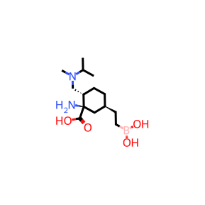 CC(C)N(C)C[C@@H]1CC[C@@H](CCB(O)O)C[C@]1(N)C(=O)O